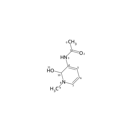 CC(=O)NC1=CC=CN(C)C1O